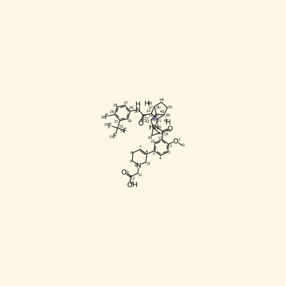 COc1ccc(C2=CCCN(CC(=O)O)C2)cc1C(=O)N[C@H]1[C@@H](C(=O)Nc2ccc(F)c(C(F)(F)F)c2)[C@H]2CC[C@@H]1/C2=C\C1CC1